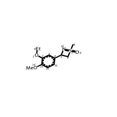 CCOc1cc(C2CS(C)(=O)=N2)ccc1OC